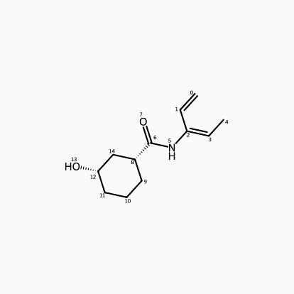 C=C/C(=C\C)NC(=O)[C@@H]1CCC[C@H](O)C1